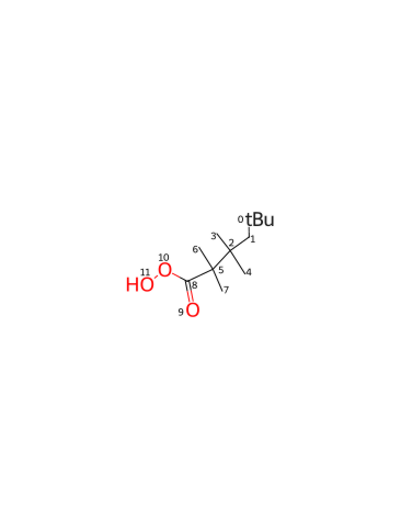 CC(C)(C)CC(C)(C)C(C)(C)C(=O)OO